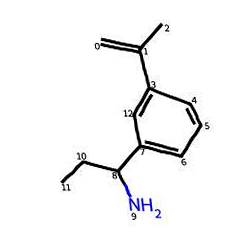 C=C(C)c1cccc(C(N)CC)c1